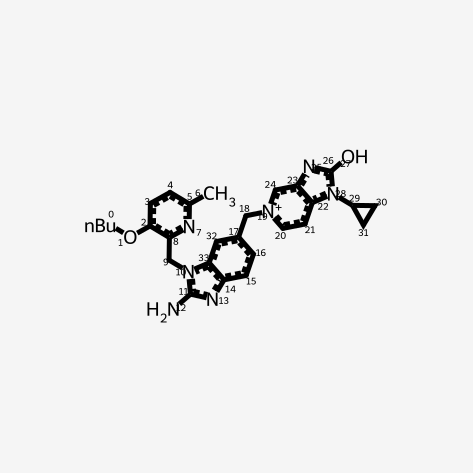 CCCCOc1ccc(C)nc1Cn1c(N)nc2ccc(C[n+]3ccc4c(c3)nc(O)n4C3CC3)cc21